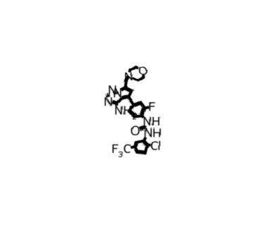 Nc1ncnn2c(CN3CCOCC3)cc(-c3ccc(NC(=O)Nc4cc(C(F)(F)F)ccc4Cl)c(F)c3)c12